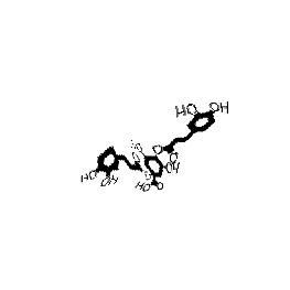 O=C(/C=C/c1ccc(O)c(O)c1)O[C@H]1[C@H](O)C[C@](OC(=O)/C=C/c2ccc(O)c(O)c2)(C(=O)O)C[C@H]1O